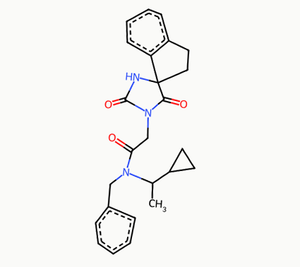 CC(C1CC1)N(Cc1ccccc1)C(=O)CN1C(=O)NC2(CCc3ccccc32)C1=O